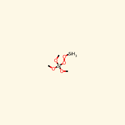 CO[Si](OC)(OC)OO[SiH3]